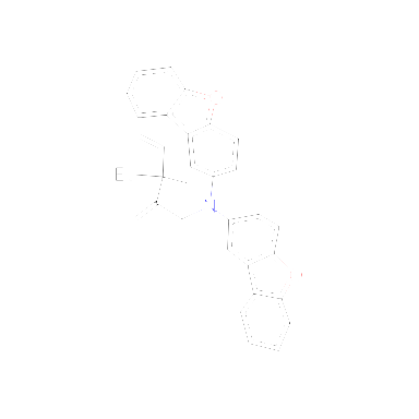 C=CC(C)(CC)C(=C)[C@@H](C)N(c1ccc2oc3ccccc3c2c1)c1ccc2oc3ccccc3c2c1